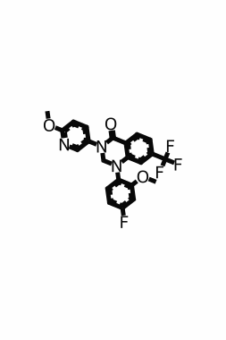 COc1ccc(N2CN(c3ccc(F)cc3OC)c3cc(C(F)(F)F)ccc3C2=O)cn1